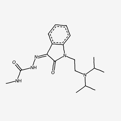 CNC(=O)NN=C1C(=O)N(CCN(C(C)C)C(C)C)c2ccccc21